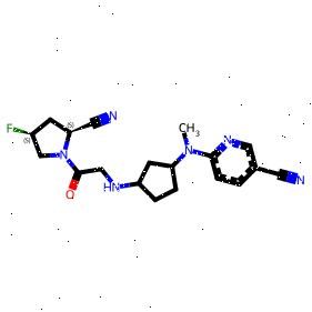 CN(c1ccc(C#N)cn1)C1CCC(NCC(=O)N2C[C@@H](F)C[C@H]2C#N)C1